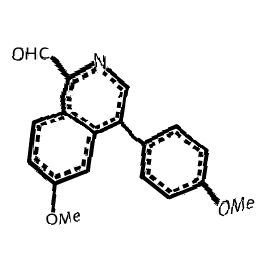 COc1ccc(-c2cnc(C=O)c3ccc(OC)cc23)cc1